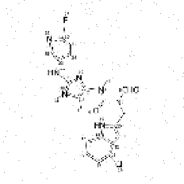 Cc1c(N(C)C(=O)N(C=O)Cc2cc3c(Cl)cccc3[nH]2)nc(Nc2ccc(F)nc2)n1C